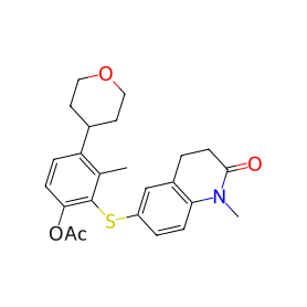 CC(=O)Oc1ccc(C2CCOCC2)c(C)c1Sc1ccc2c(c1)CCC(=O)N2C